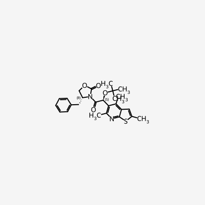 Cc1cc2c(C)c([C@H](OC(C)(C)C)C(=O)N3C(=O)OC[C@H]3Cc3ccccc3)c(C)nc2s1